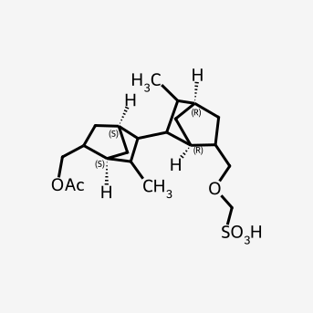 CC(=O)OCC1C[C@@H]2C[C@H]1C(C)C2C1C(C)[C@H]2CC(COCS(=O)(=O)O)[C@@H]1C2